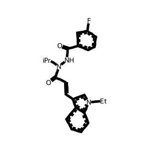 CCn1cc(C=CC(=O)N(NC(=O)c2cccc(F)c2)C(C)C)c2ccccc21